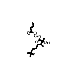 CCCC(=O)OOOC(=O)C(C)(O)C(C)CCCC(C)(C)C